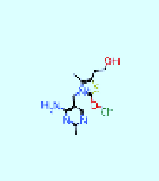 COc1sc(CCO)c(C)[n+]1Cc1cnc(C)nc1N.[Cl-]